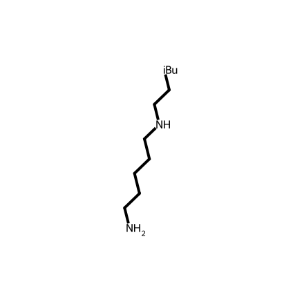 CCC(C)CCNCCCCCN